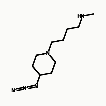 CNCCCCN1CCC(N=[N+]=[N-])CC1